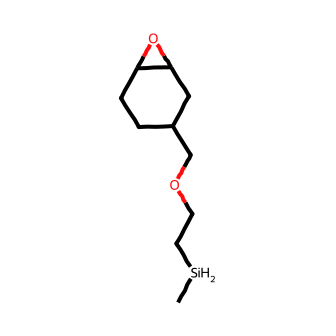 C[SiH2]CCOCC1CCC2OC2C1